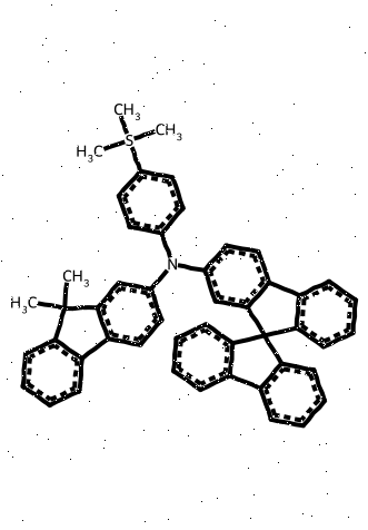 CC1(C)c2ccccc2-c2ccc(N(c3ccc(S(C)(C)C)cc3)c3ccc4c(c3)C3(c5ccccc5-c5ccccc53)c3ccccc3-4)cc21